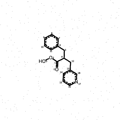 O=C(OO)C(Cc1ccccc1)Cc1cccnc1